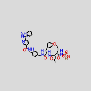 CC(C)CC1C(=O)NC(C(=O)NCc2ccc(CNC(=O)c3ccc(C(=NN)c4ccccc4)nc3)cc2)Cc2ccc(cc2)OCCCC1C(=O)NO[SH](=O)=O